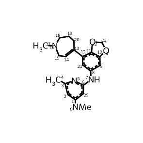 CNc1cc(C)nc(Nc2cc3c(c(C4=CCN(C)CCC4)c2)OCO3)c1